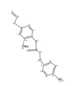 C=CCc1ccc(OC(=O)COc2ccc([N+](=O)[O-])cc2)c(OC)c1